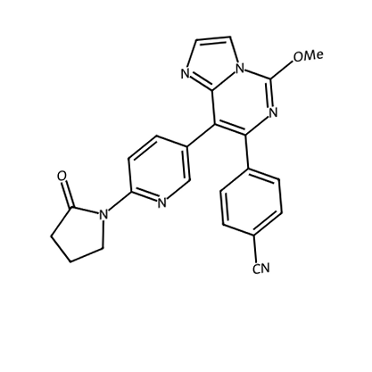 COc1nc(-c2ccc(C#N)cc2)c(-c2ccc(N3CCCC3=O)nc2)c2nccn12